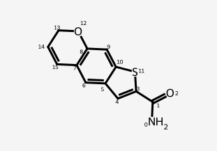 NC(=O)c1cc2cc3c(cc2s1)OCC=C3